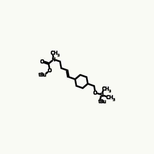 CN(CCC=CC1CCC(CO[Si](C)(C)C(C)(C)C)CC1)C(=O)OC(C)(C)C